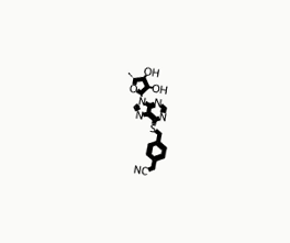 C[C@H]1O[C@@H](n2cnc3c(SCc4ccc(CC#N)cc4)ncnc32)[C@H](O)[C@@H]1O